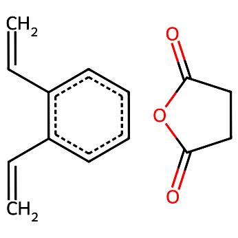 C=Cc1ccccc1C=C.O=C1CCC(=O)O1